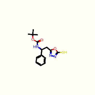 CC(C)(C)OC(=O)NC(Cc1nnc(S)o1)c1ccccc1